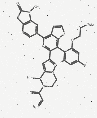 C=CC(=O)N1CCn2nc(-c3nc(-c4cnc5c(c4)N(C)C(=O)C5)c4ccsc4c3-c3c(F)cc(F)cc3OCCOC)cc2C1C